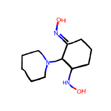 ON=C1CCCC(NO)C1N1CCCCC1